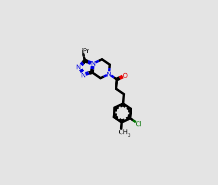 Cc1ccc(CCC(=O)N2CCn3c(nnc3C(C)C)C2)cc1Cl